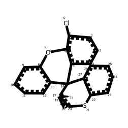 Clc1cccc2c1Oc1ccccc1C21c2ccccc2Sc2ccccc21